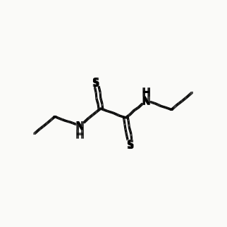 CCNC(=S)C(=S)NCC